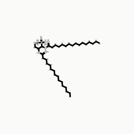 CCCCCCCCCCCCCCCC(=O)OC(CO)C(OC(=O)CCCCCCCCCCCCCCC)P(=O)(O)O